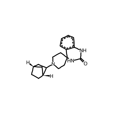 O=C1Nc2ccccc2C2(CCN(C3C[C@H]4CC[C@@H]3C4)CC2)N1